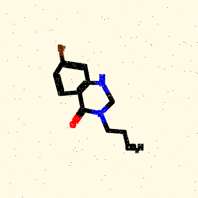 O=C(O)CCN1CNc2cc(Br)ccc2C1=O